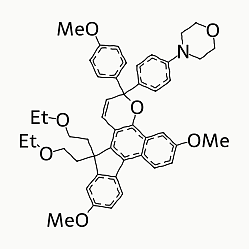 CCOCCC1(CCOCC)c2cc(OC)ccc2-c2c1c1c(c3cc(OC)ccc23)OC(c2ccc(OC)cc2)(c2ccc(N3CCOCC3)cc2)C=C1